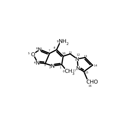 Cc1nc2nonc2c(N)c1Cn1ccc(C=O)n1